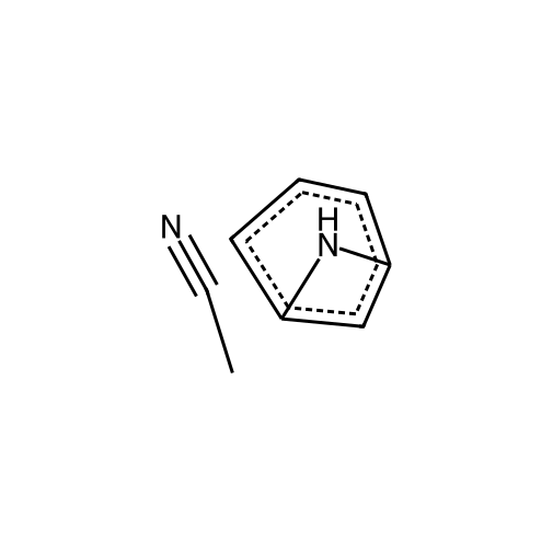 CC#N.c1cc2cc(c1)N2